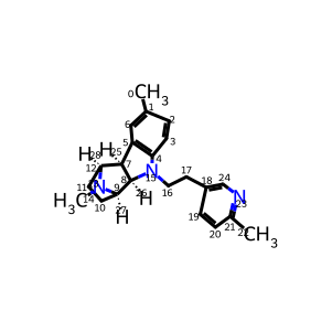 Cc1ccc2c(c1)[C@H]1[C@H]([C@H]3CC[C@@H]1N3C)N2CCc1ccc(C)nc1